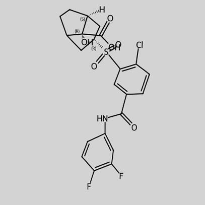 O=C(Nc1ccc(F)c(F)c1)c1ccc(Cl)c(S(=O)(=O)[C@@H]2CC3CC[C@@H](C2)[C@@]3(O)C(=O)O)c1